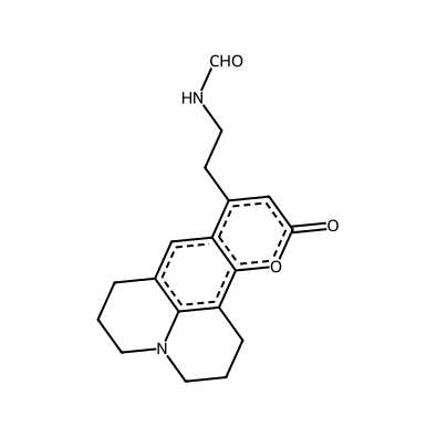 O=CNCCc1cc(=O)oc2c3c4c(cc12)CCCN4CCC3